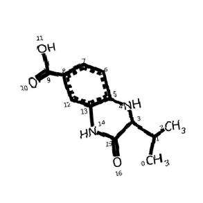 CC(C)C1Nc2ccc(C(=O)O)cc2NC1=O